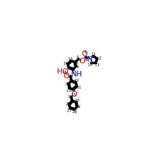 O=C(Nc1cc(COC(=O)N2CCCC2)ccc1O)c1ccc(OCc2ccccc2)cc1